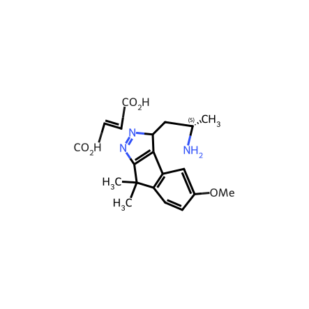 COc1ccc2c(c1)C1=C(N=NC1C[C@H](C)N)C2(C)C.O=C(O)C=CC(=O)O